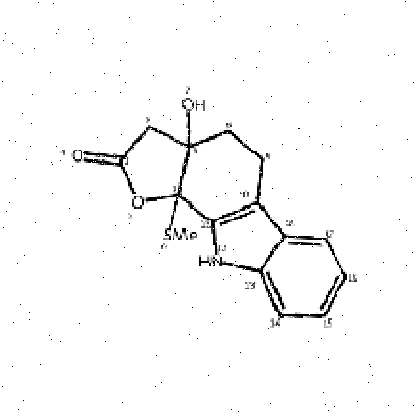 CSC12OC(=O)CC1(O)CCc1c2[nH]c2ccccc12